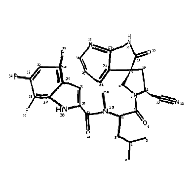 CC(C)CC(C(=O)N1C[C@]2(C[C@H]1C#N)C(=O)Nc1ncccc12)N(C)C(=O)c1cc2c(F)cc(F)c(F)c2[nH]1